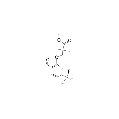 COC(=O)C(C)(C)COc1cc(C(F)(F)F)ccc1C=O